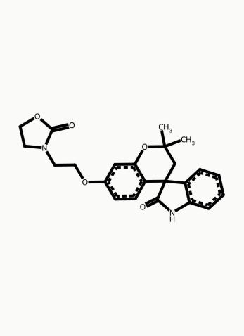 CC1(C)CC2(C(=O)Nc3ccccc32)c2ccc(OCCN3CCOC3=O)cc2O1